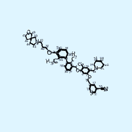 Cc1c(COc2cc(OCc3cncc(C#N)c3)c(CN3CCCCC3)cc2Cl)cccc1-c1cccc(OCCCN2CCC3(CCOC3)C2)c1C